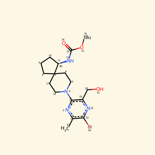 Cc1nc(N2CCC3(CCC[C@H]3NC(=O)OC(C)(C)C)CC2)c(CO)nc1Br